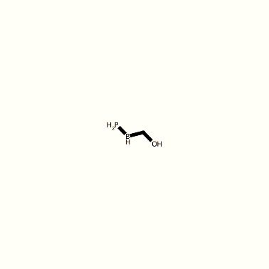 OCBP